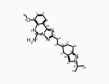 COc1cccc2c1nc(N)n1nc(CCC3CCc4nn(C(C)C)cc4C3)nc21